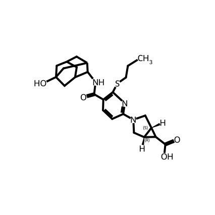 CCCSc1nc(N2C[C@@H]3C(C(=O)O)[C@@H]3C2)ccc1C(=O)NC1C2CC3CC1CC(O)(C3)C2